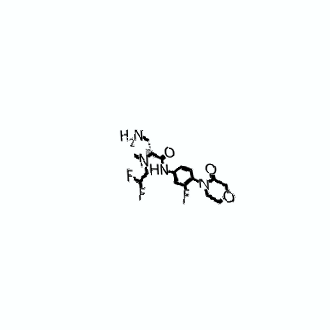 CN(CC(F)F)[C@H](CN)C(=O)Nc1ccc(N2CCOCC2=O)c(F)c1